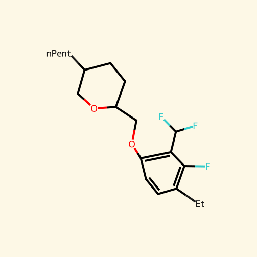 CCCCCC1CCC(COc2ccc(CC)c(F)c2C(F)F)OC1